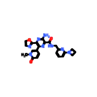 Cn1cc(-c2nc(C(=O)NCc3cccc(N4CCC4)n3)c(N)nc2-c2ncco2)ccc1=O